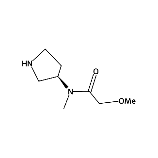 COCC(=O)N(C)[C@@H]1CCNC1